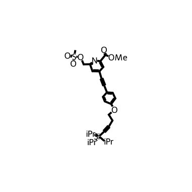 COC(=O)c1cc(C#Cc2ccc(OCCC#C[Si](C(C)C)(C(C)C)C(C)C)cc2)cc(COS(C)(=O)=O)n1